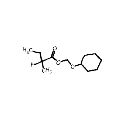 CCC(C)(F)C(=O)OCOC1CCCCC1